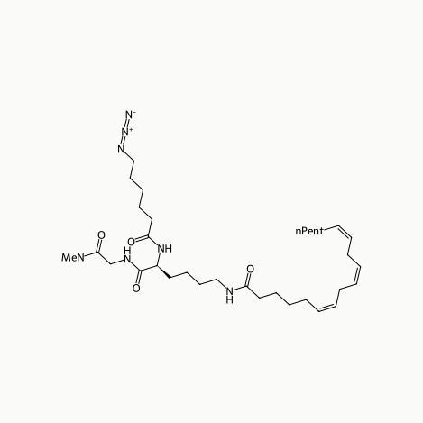 CCCCC/C=C\C/C=C\C/C=C\CCCCC(=O)NCCCC[C@H](NC(=O)CCCCCN=[N+]=[N-])C(=O)NCC(=O)NC